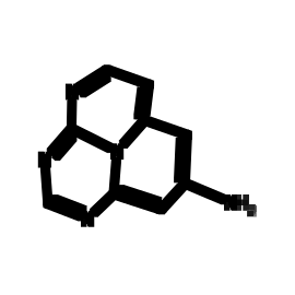 NC1=CC2=CC=NC3=NC=NC(=C1)N23